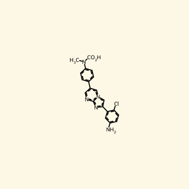 CN(C(=O)O)c1ccc(-c2cnc3nc(-c4cc(N)ccc4Cl)cn3c2)cc1